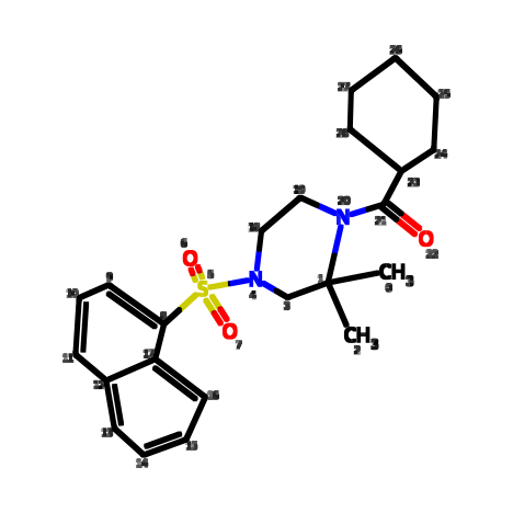 CC1(C)CN(S(=O)(=O)c2cccc3ccccc23)CCN1C(=O)C1CCCCC1